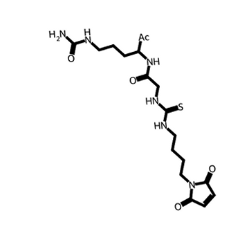 CC(=O)C(CCCNC(N)=O)NC(=O)CNC(=S)NCCCCN1C(=O)C=CC1=O